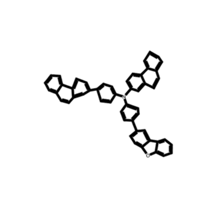 c1ccc2c(c1)ccc1cc(-c3ccc(N(c4ccc(-c5ccc6oc7ccccc7c6c5)cc4)c4ccc5c(ccc6ccccc65)c4)cc3)ccc12